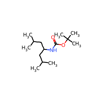 CC(C)CC(CC(C)C)NC(=O)OC(C)(C)C